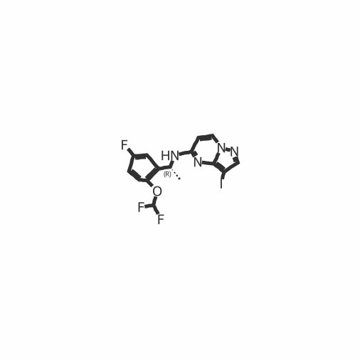 C[C@@H](Nc1ccn2ncc(I)c2n1)c1cc(F)ccc1OC(F)F